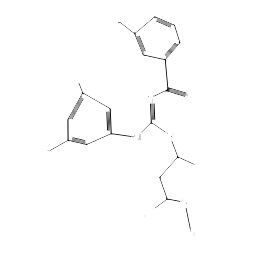 CCCCNC(CC(C)N/C(=N\C(=O)c1cccc(Cl)c1)Nc1cc(F)cc(Cl)c1)C(F)(F)F